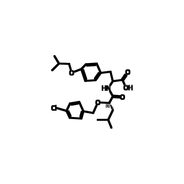 CC(C)COc1ccc(CC(NC(=O)[C@H](CC(C)C)OCc2ccc(Cl)cc2)C(=O)O)cc1